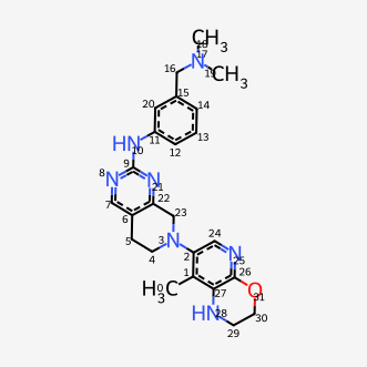 Cc1c(N2CCc3cnc(Nc4cccc(CN(C)C)c4)nc3C2)cnc2c1NCCO2